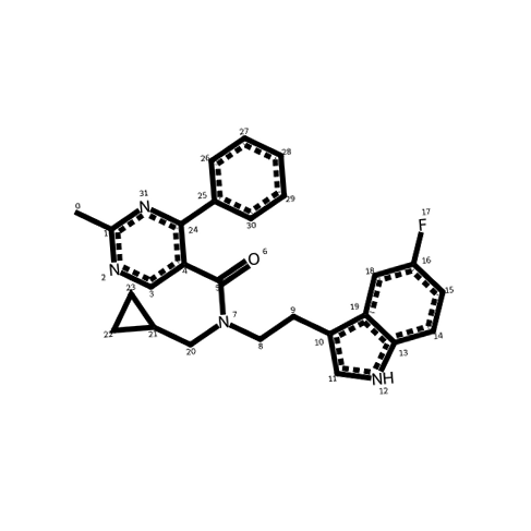 Cc1ncc(C(=O)N(CCc2c[nH]c3ccc(F)cc23)CC2CC2)c(-c2ccccc2)n1